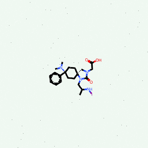 CC(CN1C(=O)N(CC(=O)O)C[C@]12CC[C@](c1ccccc1)(N(C)C)CC2)NI